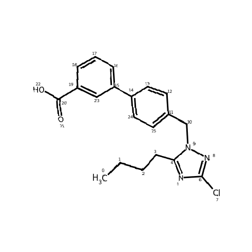 CCCCc1nc(Cl)nn1Cc1ccc(-c2cccc(C(=O)O)c2)cc1